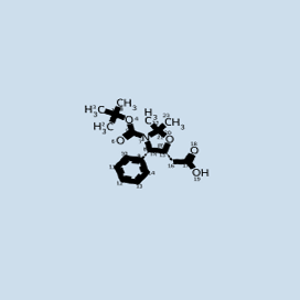 CC(C)(C)OC(=O)N1[C@@H](c2ccccc2)[C@@H](CC(=O)O)OC1(C)C